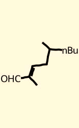 CCCCC(C)CC=C(C)C=O